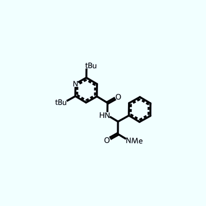 CNC(=O)C(NC(=O)c1cc(C(C)(C)C)nc(C(C)(C)C)c1)c1ccccc1